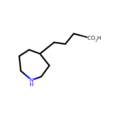 O=C(O)CCCC1CCCNCC1